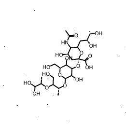 CC(=O)NC1C(C[C@H](O)CO)O[C@@](OC2C(O)C(CO)OC(O[C@@H](C)C(CO)OC(C)C(O)O)C2O)(C(=O)O)C[C@H]1O